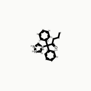 CCCC(=O)C(c1ccccc1)(c1ccccc1)n1cnnc1